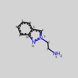 NCCn1cc2ccccc2n1